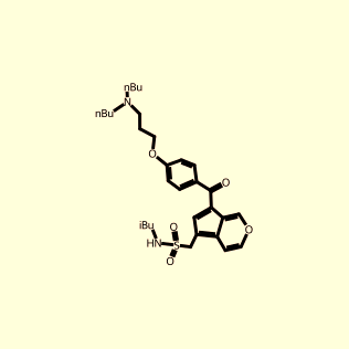 CCCCN(CCCC)CCCOc1ccc(C(=O)c2cc(CS(=O)(=O)NC(C)CC)c3ccocc2-3)cc1